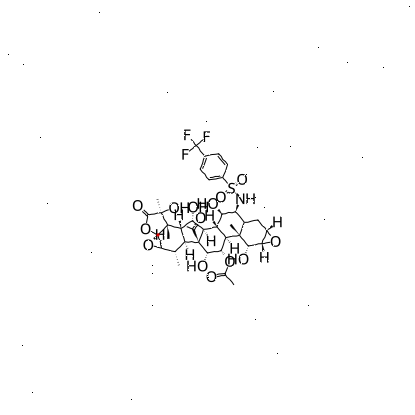 CC(=O)O[C@H]1[C@H]2[C@@H]([C@@H](O)[C@@H](NS(=O)(=O)c3ccc(C(F)(F)F)cc3)C3C[C@@H]4O[C@@H]4[C@H](O)[C@@]32C)[C@@H]2[C@@H](O)[C@@H]3[C@H]([C@H](C)[C@H]4O[C@]45OC(=O)[C@@](C)(O)[C@]35C)[C@@]2(C(C)=O)[C@H]1O